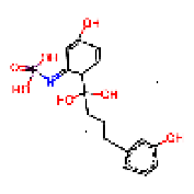 O=P(O)(O)N=C1C=C(O)C=CC1C(O)(O)CCCc1cccc(O)c1